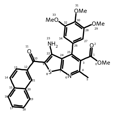 COC(=O)c1c(C)nc2sc(C(=O)c3ccc4ccccc4c3)c(N)c2c1-c1cc(OC)c(OC)c(OC)c1